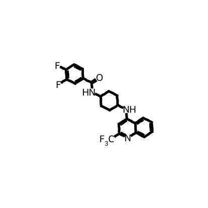 O=C(NC1CCC(Nc2cc(C(F)(F)F)nc3ccccc23)CC1)c1ccc(F)c(F)c1